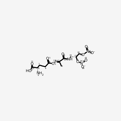 C/C(=N\OC(=O)CC[C@H](N)C(=O)O)C(=O)NC[C@H](CO[N+](=O)[O-])O[N+](=O)[O-]